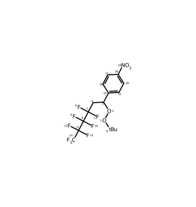 CC(C)(C)OOC(CC(F)(F)C(F)(F)C(F)(F)C(F)(F)F)c1ccc([N+](=O)[O-])cc1